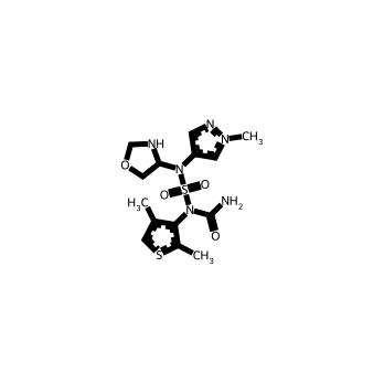 Cc1csc(C)c1N(C(N)=O)S(=O)(=O)N(c1cnn(C)c1)C1COCN1